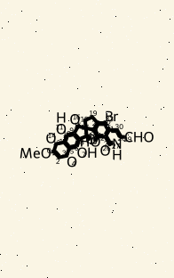 COC1=CC(=O)c2c(O)c3c(c(O)c2C1=O)C(=O)C1(CCc2c1c(O)c1c(=O)[nH]c(C=O)cc1c2Br)C3=O